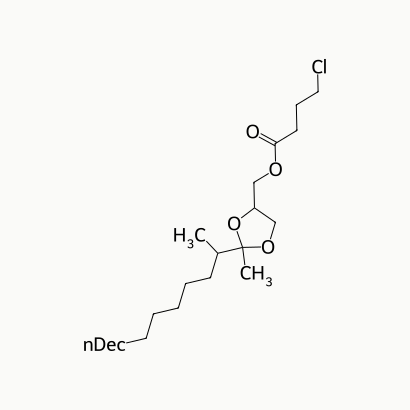 CCCCCCCCCCCCCCCC(C)C1(C)OCC(COC(=O)CCCCl)O1